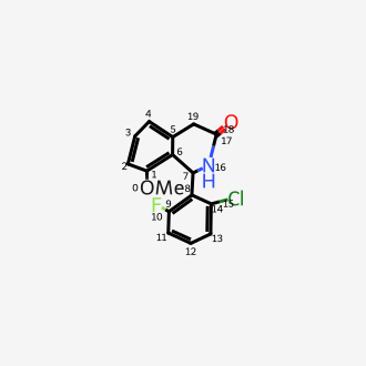 COc1cccc2c1C(c1c(F)cccc1Cl)NC(=O)C2